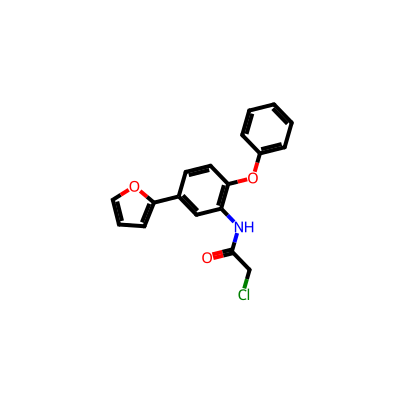 O=C(CCl)Nc1cc(-c2ccco2)ccc1Oc1ccccc1